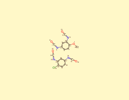 CCOc1ccc(N=C=O)cc1N=C=O.O=C=Nc1ccc(Cl)c(N=C=O)c1